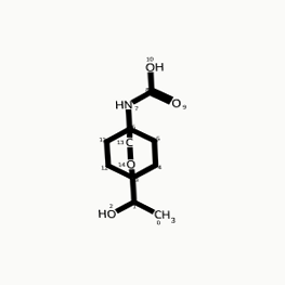 CC(O)C12CCC(NC(=O)O)(CC1)CO2